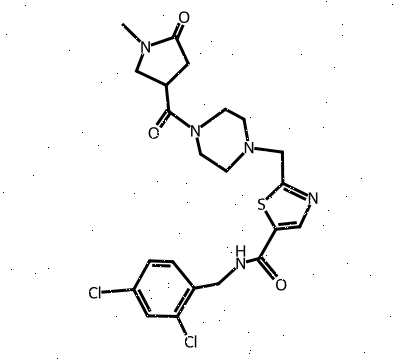 CN1CC(C(=O)N2CCN(Cc3ncc(C(=O)NCc4ccc(Cl)cc4Cl)s3)CC2)CC1=O